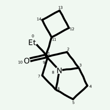 CCC1CC2CCC(C1)N2C(=O)C1CCC1